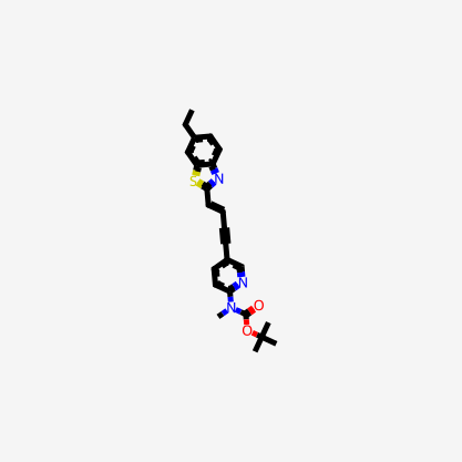 CCc1ccc2nc(/C=C/C#Cc3ccc(N(C)C(=O)OC(C)(C)C)nc3)sc2c1